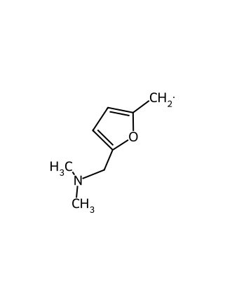 [CH2]c1ccc(CN(C)C)o1